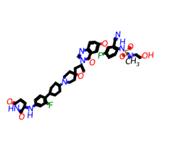 CN(CCO)S(=O)(=O)Nc1ccc(F)c(Oc2ccc3ncn([C@H]4COC5(CCN(C6CCC(c7ccc(NC8CCC(=O)NC8=O)cc7F)CC6)CC5)C4)c(=O)c3c2)c1C#N